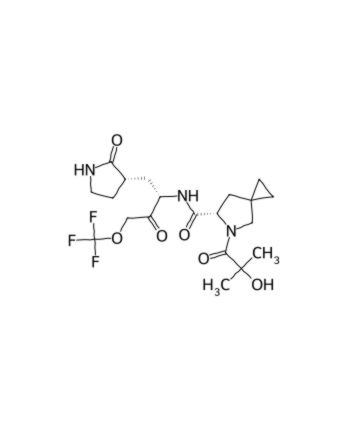 CC(C)(O)C(=O)N1CC2(CC2)C[C@H]1C(=O)N[C@@H](C[C@@H]1CCNC1=O)C(=O)COC(F)(F)F